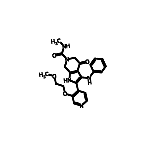 CNC(=O)N1CC(=O)c2c([nH]c(-c3ccncc3OCCOC)c2Nc2ccccc2)C1